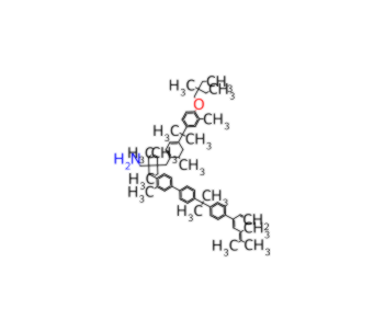 C=C/C(=C\C(C)=C(C)C)c1ccc(C(C)(C)c2ccc(-c3ccc(CC(CC)(CN)C(CC)(CC)CC4=CC=C(C(C)(C)c5ccc(OCC(C)(CC)CC)c(C)c5)CC4C)c(C)c3)cc2)cc1